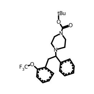 CC(C)(C)OC(=O)N1CCN(C(Cc2ccccc2OC(F)(F)F)c2ccccc2)CC1